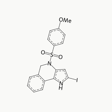 COc1ccc(S(=O)(=O)N2Cc3ccccc3-c3[nH]c(I)cc32)cc1